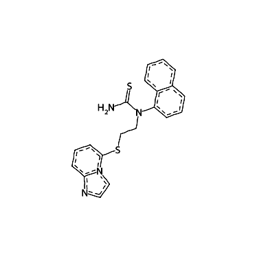 NC(=S)N(CCSc1cccc2nccn12)c1cccc2ccccc12